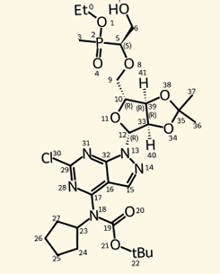 CCOP(C)(=O)[C@@H](CO)OC[C@H]1O[C@@H](n2ncc3c(N(C(=O)OC(C)(C)C)C4CCCC4)nc(Cl)nc32)[C@@H]2OC(C)(C)O[C@@H]21